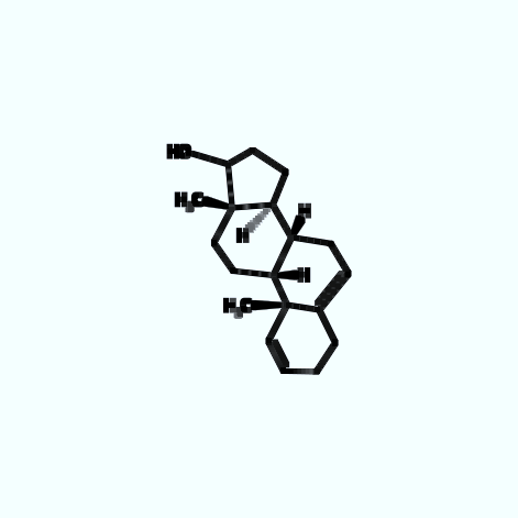 C[C@]12C=CCCC1=CC[C@@H]1[C@H]2CC[C@]2(C)C(O)CC[C@@H]12